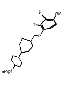 CCCCCCCC1CCC(C2CCC(COc3ccc(OC)c(F)c3F)CC2)CC1